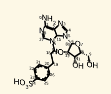 NC1=C2N=CN([C@@H]3O[C@H](CO)[C@@H](O)[C@H]3O)C2N(CCCc2ccc(S(=O)(=O)O)cc2)C=N1